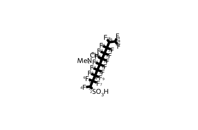 CNC.O=S(=O)(O)C(F)C(F)(F)C(F)(F)C(F)(F)C(F)(F)C(F)(F)C(F)(F)C(F)(F)C(F)C(F)F